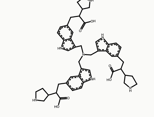 O=C(O)C(Cc1ccc2[nH]cc(CN(Cc3c[nH]c4ccc(CC(C(=O)O)C5CCNC5)cc34)Cc3c[nH]c4ccc(CC(C(=O)O)C5CCNC5)cc34)c2c1)C1CCNC1